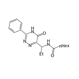 CCCCCCC(=O)NC(CC)c1nnc(-c2ccccc2)[nH]c1=O